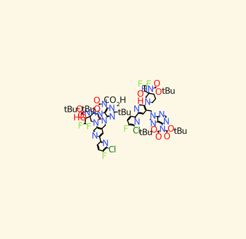 CC(C)(C)OC(=O)NC1(C(O)C(F)F)CCCN(c2cnc(-c3ccc(F)c(Cl)n3)cc2Cn2cnc3c(N(C(=O)O)C(=O)OC(C)(C)C)nc(C(C)(C)C)nc32)C1.CC(C)(C)OC(=O)NC1(C(O)C(F)F)CCCN(c2cnc(-c3ccc(F)c(Cl)n3)cc2Cn2cnc3c(N(C(=O)OC(C)(C)C)C(=O)OC(C)(C)C)ncnc32)C1